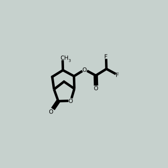 CC1CC2CC(OC2=O)C1OC(=O)C(F)F